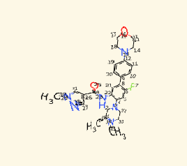 C[C@H]1CN(c2cc(F)c(-c3ccc(N4CCOCC4)cc3)cc2NC(=O)c2cnn(C)c2)CCN1C